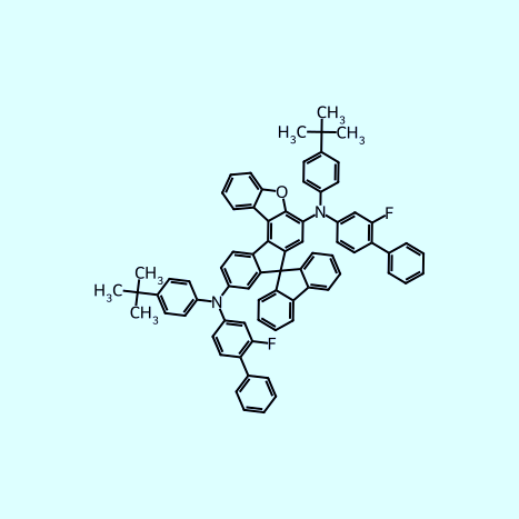 CC(C)(C)c1ccc(N(c2ccc(-c3ccccc3)c(F)c2)c2ccc3c(c2)C2(c4ccccc4-c4ccccc42)c2cc(N(c4ccc(C(C)(C)C)cc4)c4ccc(-c5ccccc5)c(F)c4)c4oc5ccccc5c4c2-3)cc1